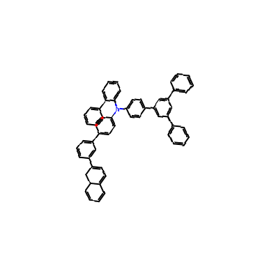 C1=CC2=CC=C(c3cccc(-c4ccc(N(c5ccc(-c6cc(-c7ccccc7)cc(-c7ccccc7)c6)cc5)c5ccccc5-c5ccccc5)cc4)c3)CC2C=C1